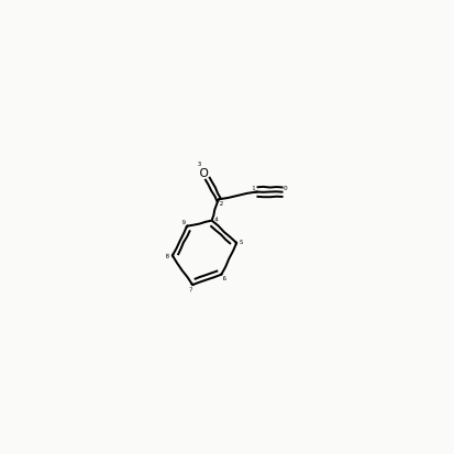 C#CC(=O)c1ccccc1